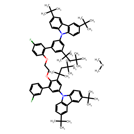 CC(C)(C)CC(C)(C)c1cc(-c2cc(F)ccc2OCCOc2c(-c3cccc(F)c3)cc(-n3c4ccc(C(C)(C)C)cc4c4cc(C(C)(C)C)ccc43)cc2C(C)(C)CC(C)(C)C)cc(-n2c3ccc(C(C)(C)C)cc3c3cc(C(C)(C)C)ccc32)c1.[CH3][Zr][CH3]